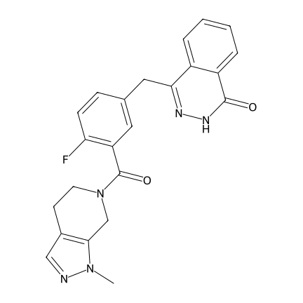 Cn1ncc2c1CN(C(=O)c1cc(Cc3n[nH]c(=O)c4ccccc34)ccc1F)CC2